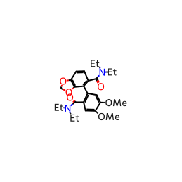 CCN(CC)C(=O)c1cc(OC)c(OC)cc1-c1c(C(=O)N(CC)CC)ccc2c1OCO2